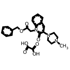 CN1CCN(c2cc3ccccc3n(CC(=O)OCc3ccccc3)c2=O)CC1.O=C(O)C(=O)O